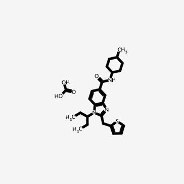 CCC(CC)n1c(Cc2cccs2)nc2cc(C(=O)NC3CCC(C)CC3)ccc21.O=C(O)O